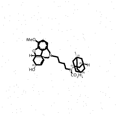 COc1ccc2c3c1O[C@H]1C[C@@H](O)C=C[C@@]31CCN(CCCCN(C(=O)O)[C@]13C[C@@H]4C[C@@](C)(C[C@@](C)(C4)C1)C3)C2